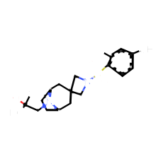 Cc1ccc(S(=O)(=O)N2CC3(CC4CCC(C3)N4CC(C)(C)O)C2)c(C)c1